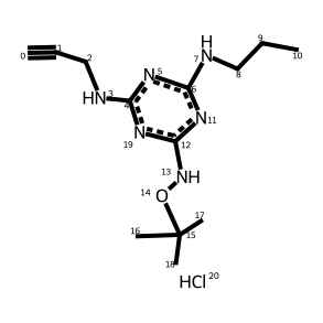 C#CCNc1nc(NCCC)nc(NOC(C)(C)C)n1.Cl